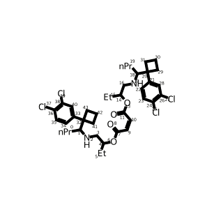 CCCC(NCC(CC)OC(=O)/C=C\C(=O)OC(CC)CNC(CCC)C1(c2ccc(Cl)c(Cl)c2)CCC1)C1(c2ccc(Cl)c(Cl)c2)CCC1